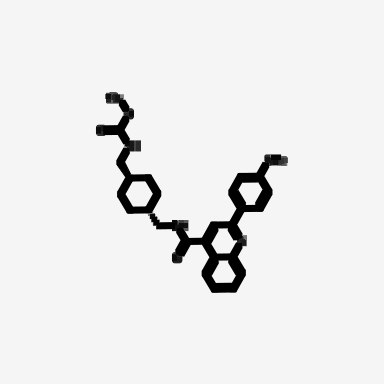 CSc1ccc(-c2cc(C(=O)NC[C@H]3CC[C@H](CNC(=O)OC(C)(C)C)CC3)c3ccccc3n2)cc1